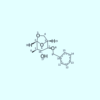 C[C@H]1[C@@H]2OC[C@@H](O2)[C@@H](OCc2ccccc2)[C@@H]1O